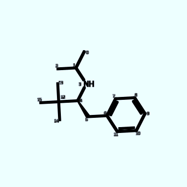 CC(C)N[C@@H](Cc1ccccc1)C(C)(C)C